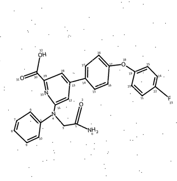 NC(=O)CN(c1ccccc1)c1cc(-c2ccc(Oc3ccc(F)cc3)cc2)cc(C(=O)O)n1